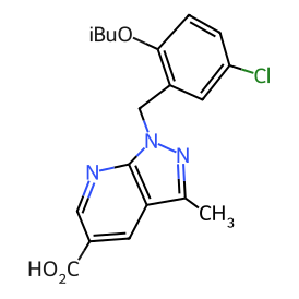 Cc1nn(Cc2cc(Cl)ccc2OCC(C)C)c2ncc(C(=O)O)cc12